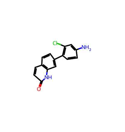 Nc1ccc(-c2ccc3ccc(=O)[nH]c3c2)c(Cl)c1